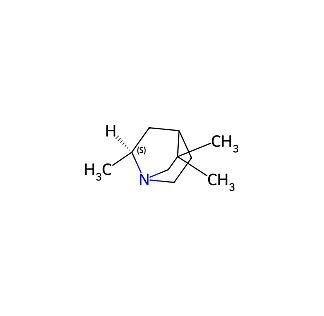 C[C@H]1CC2CCN1CC2(C)C